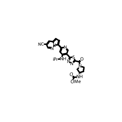 COC(=O)N[C@H]1CCN(C(=O)c2nnc(-c3cnc(-c4ccc5cc(C#N)cnn45)cc3NC(C)C)s2)C1